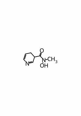 CN(O)C(=O)C1C=NC=CC1